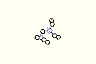 c1cc(-c2nc(-c3ccc4ccccc4c3)nc(-c3ccc4ccccc4c3)n2)cc(-n2c3ccccc3c3cc4ccccc4cc32)c1